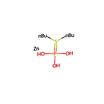 CCCCS(CCCC)=P(O)(O)O.[Zn]